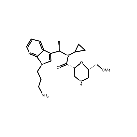 COC[C@@H]1CNC[C@H](C(=O)N(C2CC2)[C@H](C)c2cn(CCCN)c3ncccc23)O1